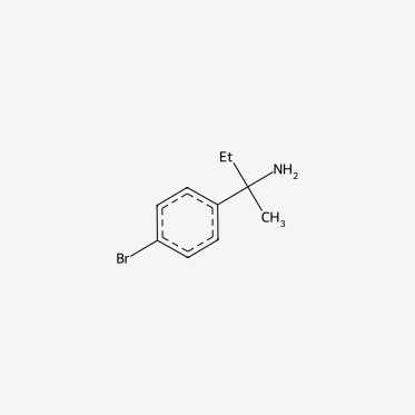 CCC(C)(N)c1ccc(Br)cc1